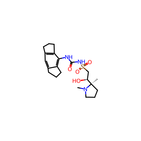 CN1CCC[C@]1(C)[C@@H](O)CS(=O)(=O)NC(=O)Nc1c2c(cc3c1CCC3)CCC2